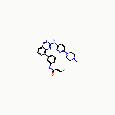 CN1CCN(c2ccc(Nc3ncc4cccc(-c5cccc(NC(=O)C=CF)c5)c4n3)cn2)CC1